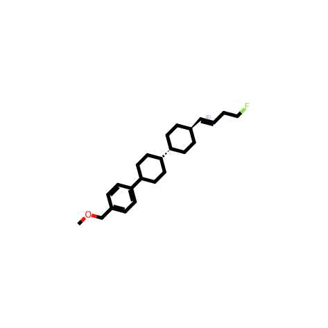 COCc1ccc(C2CCC([C@H]3CC[C@H](/C=C/CCF)CC3)CC2)cc1